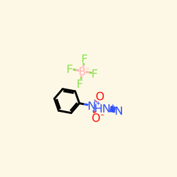 F[B-](F)(F)F.N#[NH+].O=[N+]([O-])c1ccccc1